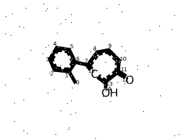 Cc1ccccc1-c1cccc(=O)c(O)c1